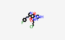 O=C(CCCCl)NC1=C(N2CCNCC2)C(=O)c2nccc(/C=C/c3ccc(F)cc3)c2C1=O